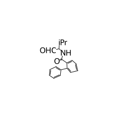 CC(C)C(C=O)NC(=O)c1ccccc1-c1ccccc1